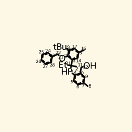 CCC(C)(Pc1ccc(C)cc1CO)c1cc(C)cc(C(C)(C)C)c1OCc1ccccc1